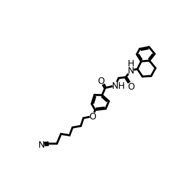 N#CCCCCCCOc1ccc(C(=O)NCC(=O)NC2CCCc3ccccc32)cc1